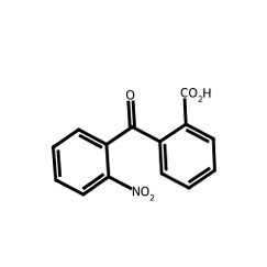 O=C(O)c1ccccc1C(=O)c1ccccc1[N+](=O)[O-]